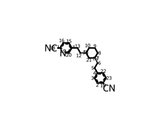 N#Cc1ccc(CC[C@@H]2CCC[C@H](CCc3ccc(C#N)nc3)C2)cc1